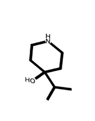 CC(C)C1(O)CCNCC1